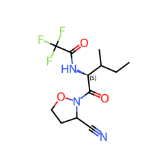 CCC(C)[C@H](NC(=O)C(F)(F)F)C(=O)N1OCCC1C#N